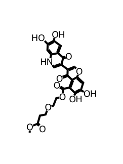 COC(=O)CCOCCOC(=O)c1c(O)c(O)cc2occ(-c3c[nH]c4cc(O)c(O)cc4c3=O)c(=O)c12